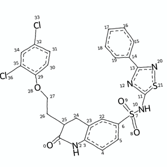 O=C1Nc2ccc(S(=O)(=O)Nc3nc(-c4ccccc4)ns3)cc2CC1CCOc1ccc(Cl)cc1Cl